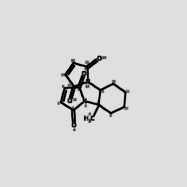 CC1(N2C(=O)C=CC2=O)CCCCC1N1C(=O)C=CC1=O